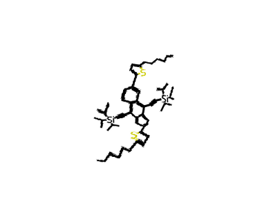 CCCCCCc1ccc(-c2ccc3c(C#C[Si](C(C)C)(C(C)C)C(C)C)c4cc(-c5ccc(CCCCCC)s5)ccc4c(C#C[Si](C(C)C)(C(C)C)C(C)C)c3c2)s1